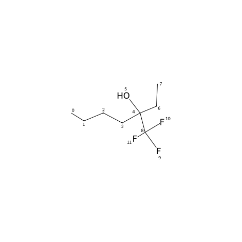 CCCCC(O)(CC)C(F)(F)F